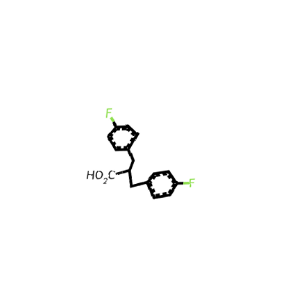 O=C(O)C(Cc1ccc(F)cc1)Cc1ccc(F)cc1